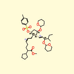 CCC(C)[C@H](/C=C/[C@@H]1[C@@H](C/C=C\CCC(C(=O)OC)C2CCCC2)[C@H](OS(=O)(=O)c2ccc(C)cc2)C[C@H]1OC1CCCCO1)OC1CCCCO1